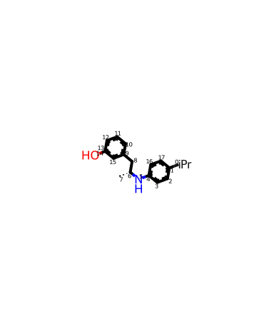 CC(C)c1ccc(N[C@H](C)Cc2cccc(O)c2)cc1